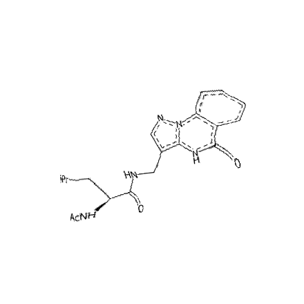 CC(=O)N[C@@H](CC(C)C)C(=O)NCc1cnn2c1[nH]c(=O)c1ccccc12